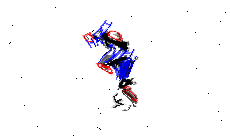 O=C1NC(=O)[C@](CNC(=O)c2cnn(-c3ccc(OC(F)(F)F)cc3)n2)(C2CC2)N1